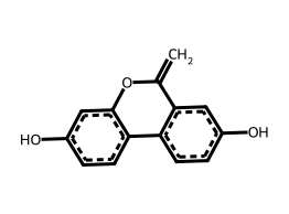 C=C1Oc2cc(O)ccc2-c2ccc(O)cc21